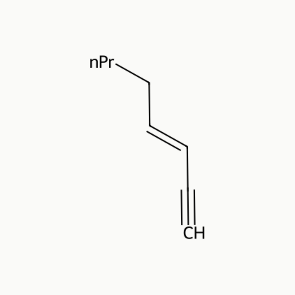 C#CC=CCCCC